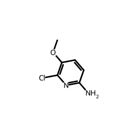 COc1ccc(N)nc1Cl